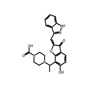 CC(c1c(O)ccc2c1OC(=Cc1n[nH]c3ccccc13)C2=O)N1CCN(C(=O)O)CC1